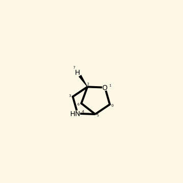 C1O[C@H]2CNC1C2